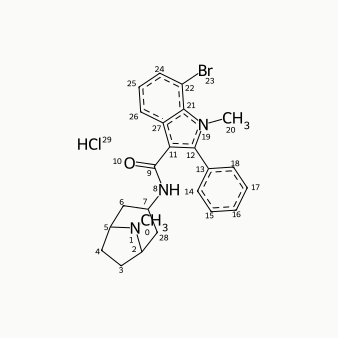 CN1C2CCC1CC(NC(=O)c1c(-c3ccccc3)n(C)c3c(Br)cccc13)C2.Cl